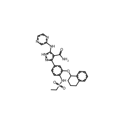 CCS(=O)(=O)Nc1ccc(-c2n[nH]c(Nc3cnccn3)c2C(N)=O)cc1OC1CCCc2ccccc21